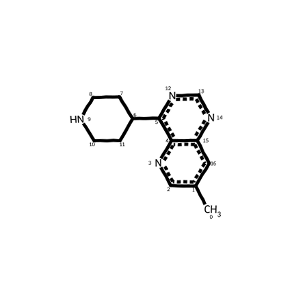 Cc1cnc2c(C3CCNCC3)ncnc2c1